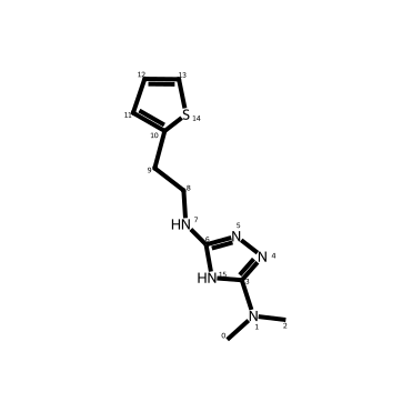 CN(C)c1nnc(NCCc2cccs2)[nH]1